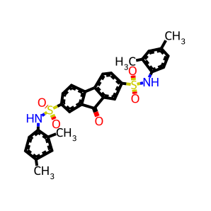 Cc1ccc(NS(=O)(=O)c2ccc3c(c2)C(=O)c2cc(S(=O)(=O)Nc4ccc(C)cc4C)ccc2-3)c(C)c1